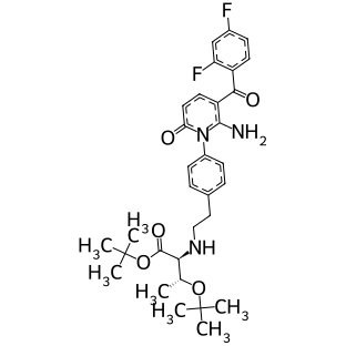 C[C@@H](OC(C)(C)C)[C@H](NCCc1ccc(-n2c(N)c(C(=O)c3ccc(F)cc3F)ccc2=O)cc1)C(=O)OC(C)(C)C